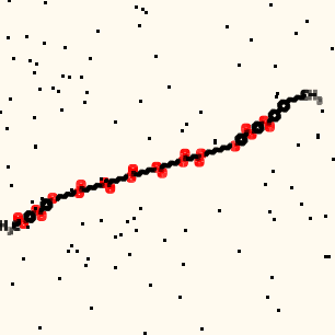 CCCCCC1CCC(C2CCC(C(=O)Oc3ccc(OC(=O)c4ccc(OCCCCCCCCOC(=O)CCC(=O)OCCCCCC(=O)OCCCCCC(=O)OCCCCCC(=O)OCCCCCC(=O)OCCCCCCOc5ccc(C(=O)Oc6ccc(OC(C)=O)cc6)cc5)cc4)cc3)CC2)CC1